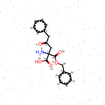 NC(CC(=O)Cc1ccccc1)(C(=O)O)C(=O)OCc1ccccc1